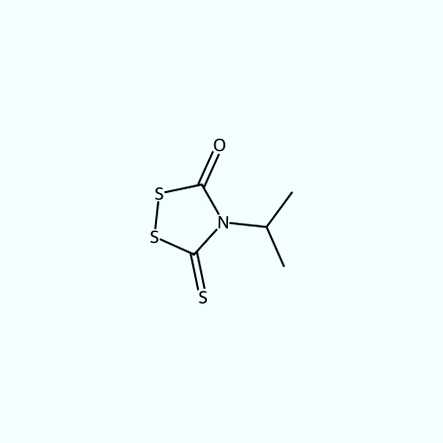 CC(C)n1c(=O)ssc1=S